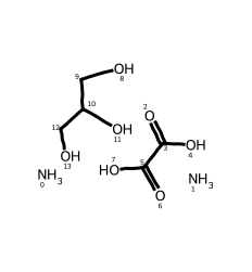 N.N.O=C(O)C(=O)O.OCC(O)CO